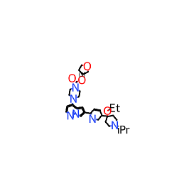 CCOC1(C2C=CC(c3cc4c(N5CCN(C(=O)O[C@H]6CCOC6)CC5)ccnn4c3)=NC2)CCN(C(C)C)CC1